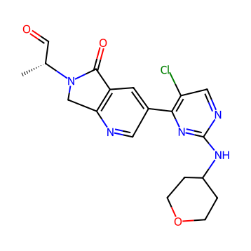 C[C@H](C=O)N1Cc2ncc(-c3nc(NC4CCOCC4)ncc3Cl)cc2C1=O